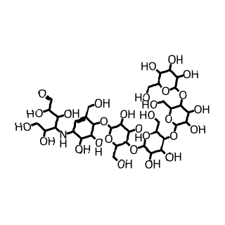 O=CC(O)C(O)C(NC1C=C(CO)C(OC2OC(CO)C(OC3OC(CO)C(OC4OC(CO)C(OC5OC(CO)C(O)C(O)C5O)C(O)C4O)C(O)C3O)C(O)C2O)C(O)C1O)C(O)CO